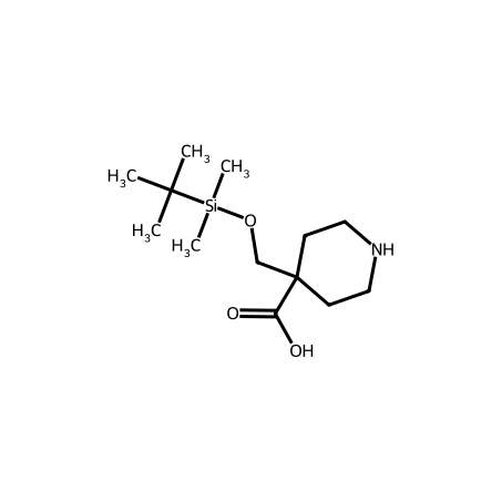 CC(C)(C)[Si](C)(C)OCC1(C(=O)O)CCNCC1